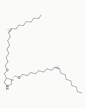 CCCCCCCC/C=C\CCCCCCCCOCC1CNC[C@H]1COCCCCCCCC/C=C\CCCCCCCC